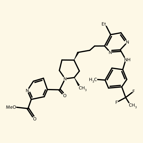 CCc1cnc(Nc2cc(C)cc(C(C)(F)F)c2)nc1CCC[C@@H]1CCN(C(=O)c2ccnc(C(=O)OC)c2)[C@H](C)C1